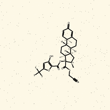 C[C@@H]1C[C@H]2[C@@H]3CCC4=CC(=O)C=C[C@]4(C)[C@H]3CC[C@]2(C)[C@@]1(OC(=O)c1oc(C(F)(F)F)cc1O)C(=O)SCC#N